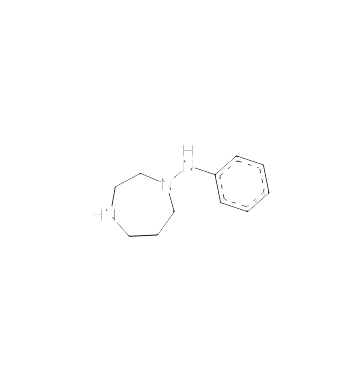 c1ccc(NN2CCCNCC2)cc1